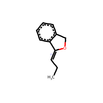 CC/C=C1\OCc2ccccc21